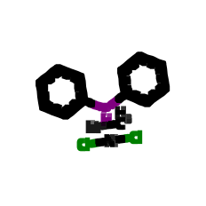 CCC.[Cl][Ni][Cl].c1ccc(Pc2ccccc2)cc1